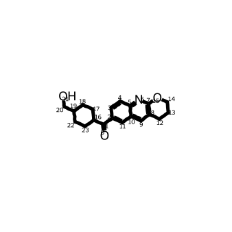 O=C(c1ccc2nc3c(cc2c1)CCCO3)C1CCC(CO)CC1